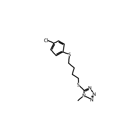 Cn1nnnc1SCCCCSc1ccc(Cl)cc1